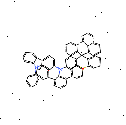 c1ccc(-c2cccc(-c3ccccc3)c2N(c2ccc3c(c2)Sc2ccccc2C32c3ccccc3-c3cccc4cccc2c34)c2ccc3c4ccccc4n(-c4ccccc4)c3c2)cc1